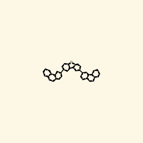 c1ccc2c(c1)ccc1ccc(-c3ccc4oc5ccc(-c6ccc7ccc8ccccc8c7c6)cc5c4c3)cc12